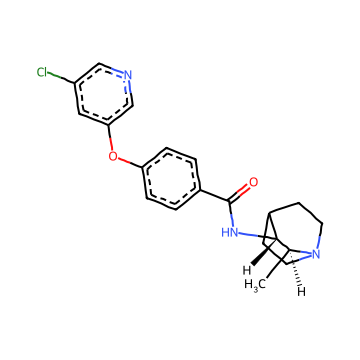 C[C@H]1[C@H](NC(=O)c2ccc(Oc3cncc(Cl)c3)cc2)C2CCN1CC2